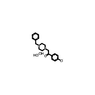 Cl.Cl.O=C(CN1CCN(Cc2ccccc2)CC1)c1ccc(Cl)cc1